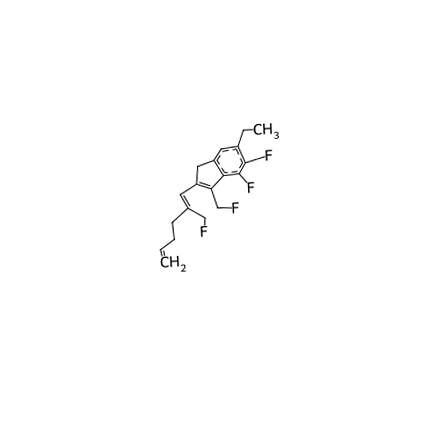 C=CCC/C(=C/C1=C(CF)c2c(cc(CC)c(F)c2F)C1)CF